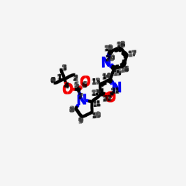 CC(C)(C)OC(=O)N1CCCC1c1cc(-c2ccccn2)no1